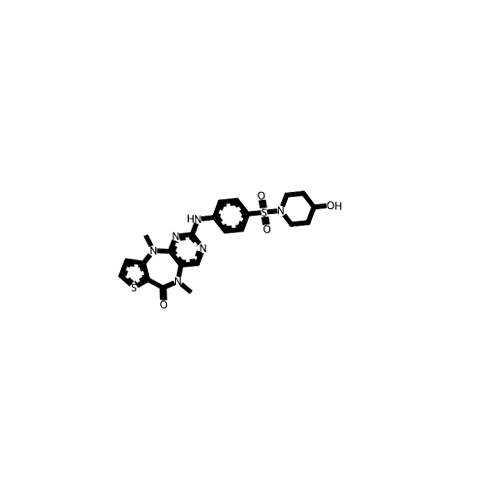 CN1C(=O)c2sccc2N(C)c2nc(Nc3ccc(S(=O)(=O)N4CCC(O)CC4)cc3)ncc21